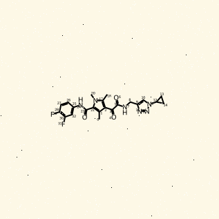 Cc1c(C(=O)C(=O)NCc2cn(C3CC3)nn2)c(C)n(C)c1C(=O)Nc1ccc(F)c(F)c1